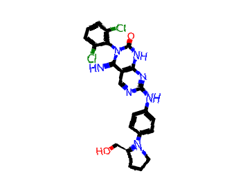 N=c1c2cnc(Nc3ccc(N4CCC[C@H]4CO)cc3)nc2[nH]c(=O)n1-c1c(Cl)cccc1Cl